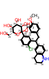 COc1ccc(CC(c2ccc3c(c2)CCCN3)c2cc([C@]3(OC)O[C@H](CO)[C@@H](O)[C@H](O)[C@H]3O)ccc2Cl)cc1